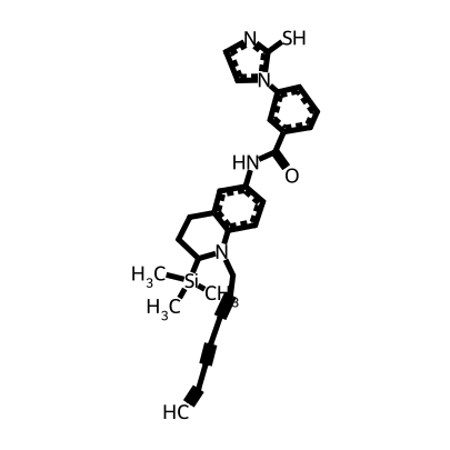 C#CC#CC#CCN1c2ccc(NC(=O)c3cccc(-n4ccnc4S)c3)cc2CCC1[Si](C)(C)C